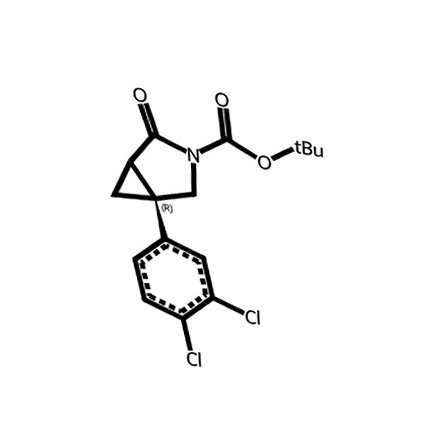 CC(C)(C)OC(=O)N1C[C@]2(c3ccc(Cl)c(Cl)c3)CC2C1=O